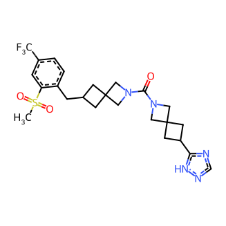 CS(=O)(=O)c1cc(C(F)(F)F)ccc1CC1CC2(C1)CN(C(=O)N1CC3(CC(c4ncn[nH]4)C3)C1)C2